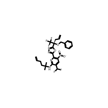 C=CCCC(C)(C)Nc1nc(-c2nnc([C@@](CC=C)(OCc3ccccc3)C(F)(F)F)o2)c([N+](=O)[O-])cc1C(F)F